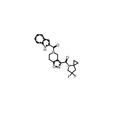 O=C(c1cc2ccccc2[nH]1)N1CCc2onc(C(=O)N3CC(F)(F)CC34CC4)c2C1